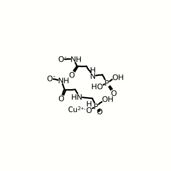 O=C(CNCP(=O)(O)O)N[O-].O=C(CNCP(=O)(O)O)N[O-].[Cu+2]